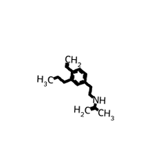 C=Cc1ccc(CCNC(=C)C)cc1CCC